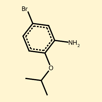 CC(C)Oc1ccc(Br)cc1N